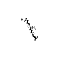 CCCCO[SiH2]CCCOCC1CO1